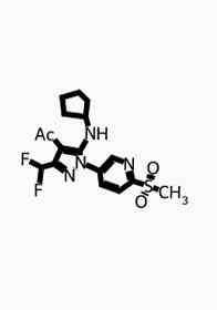 CC(=O)c1c(C(F)F)nn(-c2ccc(S(C)(=O)=O)nc2)c1NC1CCCC1